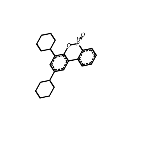 O=[PH]1Oc2c(cc(C3CCCCC3)cc2C2CCCCC2)-c2ccccc21